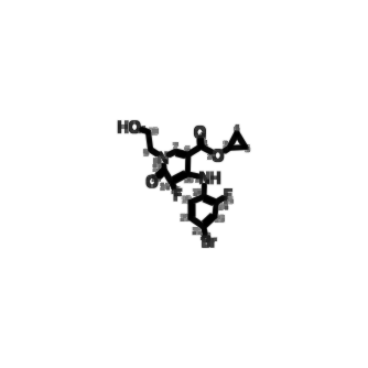 O=C(OC1CC1)c1cn(CCO)c(=O)c(F)c1Nc1ccc(Br)cc1F